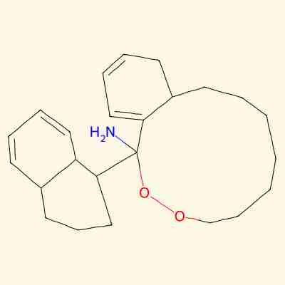 NC1(C2CCCC3C=CC=CC32)OOCCCCCCCC2CC=CC=C21